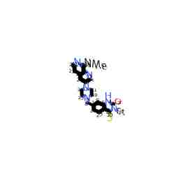 CCn1c(=O)[nH]c2cc(CN3CCN(c4cnc5c(NC)nccc5c4)CC3)ccc2c1=S